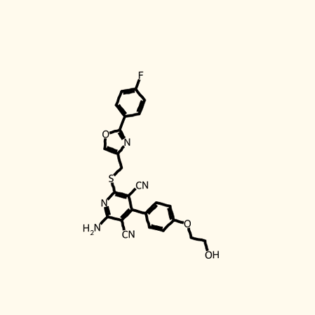 N#Cc1c(N)nc(SCc2coc(-c3ccc(F)cc3)n2)c(C#N)c1-c1ccc(OCCO)cc1